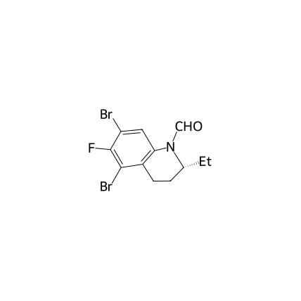 CC[C@@H]1CCc2c(cc(Br)c(F)c2Br)N1C=O